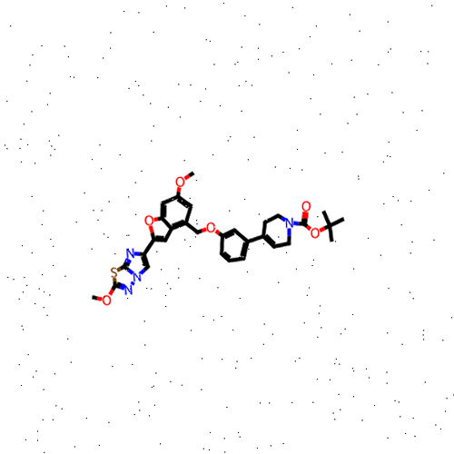 COc1cc(COc2cccc(C3=CCN(C(=O)OC(C)(C)C)CC3)c2)c2cc(-c3cn4nc(OC)sc4n3)oc2c1